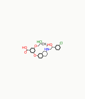 CCCOc1cc(Oc2ccc3c(c2)C[C@@H](NC[C@@H](O)c2cccc(Cl)c2)CC3)cc(C(=O)O)c1.Cl